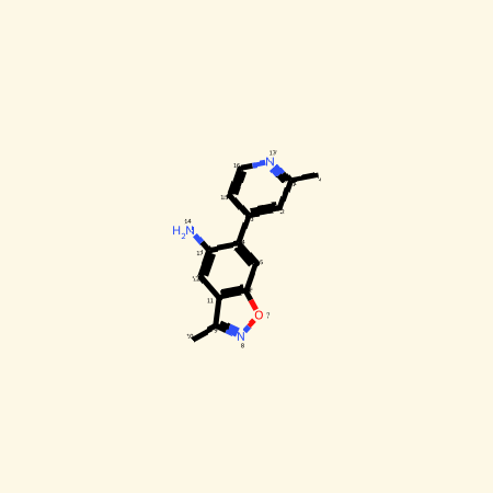 Cc1cc(-c2cc3onc(C)c3cc2N)ccn1